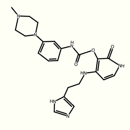 CN1CCN(c2cccc(NC(=O)Oc3c(NCCc4cnc[nH]4)cc[nH]c3=O)c2)CC1